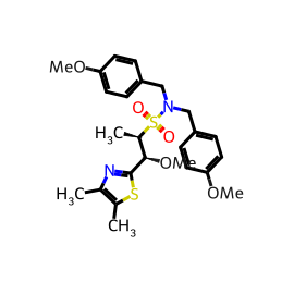 COc1ccc(CN(Cc2ccc(OC)cc2)S(=O)(=O)[C@H](C)[C@@H](OC)c2nc(C)c(C)s2)cc1